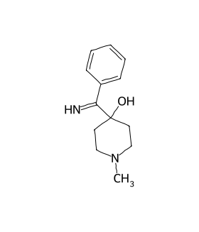 CN1CCC(O)(C(=N)c2ccccc2)CC1